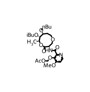 CCCCO[C@H]1CCOC[C@H](NC(=O)c2nccc(OC)c2OCOC(C)=O)C(=O)O[C@@H](C)[C@@H]1OCC(C)C